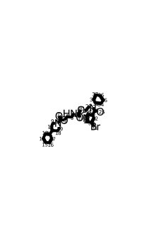 O=C(NCCOC(=O)N1CCC(c2ccccc2)CC1)OCCN(C(=O)c1cncc(Br)c1)c1ccccc1